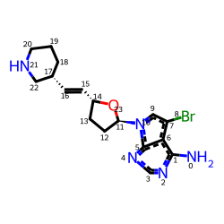 Nc1ncnc2c1c(Br)cn2[C@H]1CC[C@H](/C=C/[C@H]2CCCNC2)O1